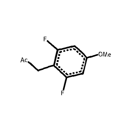 COc1cc(F)c(CC(C)=O)c(F)c1